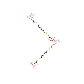 CCO[Si](CCCSSCCCCCCSSCCC[Si](OCC)(OCC)O[Si](CCCSSCCCCCCSSCCC[Si](OCC)(OCC)OCC)(OCC)OCC)(OCC)OCC